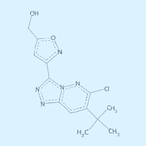 CC(C)(C)c1cc2nnc(-c3cc(CO)on3)n2nc1Cl